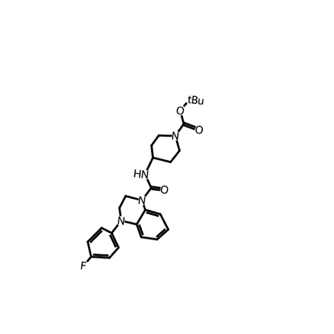 CC(C)(C)OC(=O)N1CCC(NC(=O)N2CCN(c3ccc(F)cc3)c3ccccc32)CC1